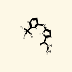 CC(NO)c1ccc(Sc2cccc(C(F)(F)F)c2)s1